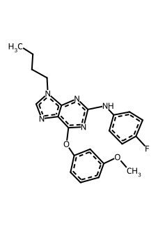 CCCCn1cnc2c(Oc3cccc(OC)c3)nc(Nc3ccc(F)cc3)nc21